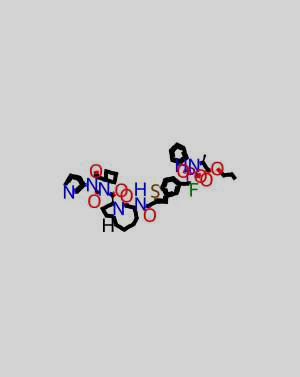 CCCOC(=O)[C@H](C)NP(=O)(Oc1ccccc1)C(F)c1ccc2sc(C(=O)N[C@H]3CCCC[C@H]4CC[C@@H](C(=O)N5C(=O)N(c6cccnc6)C(=O)C56CCC6)N4C3=O)cc2c1